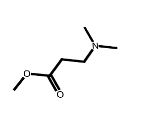 COC(=O)CCN(C)C